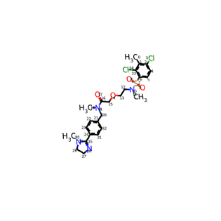 Cc1c(Cl)ccc(S(=O)(=O)N(C)CCOCC(=O)N(C)Cc2ccc(C3=NCCN3C)cc2)c1Cl